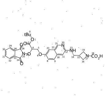 CC(C)(C)OC(=O)C(COc1ccc2cc(NCC3CN(C(=O)O)C3)ncc2c1)ON1C(=O)c2ccccc2C1=O